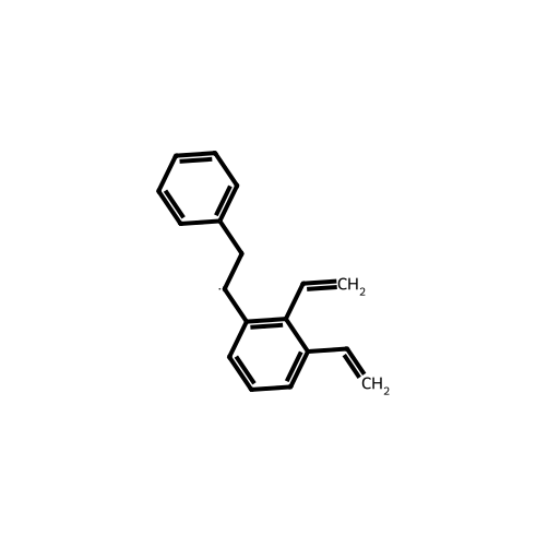 C=Cc1cccc([CH]Cc2ccccc2)c1C=C